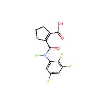 O=C(O)C1=C(C(=O)N(F)c2cc(F)cc(F)c2F)CCC1